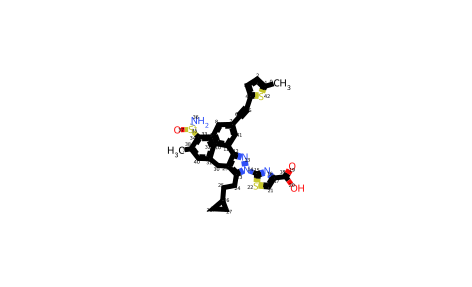 Cc1ccc(C#Cc2cccc(-c3nn(-c4nc(C(=O)O)cs4)c(CCC4CC4)c3Cc3ccc([S+](N)[O-])c(C)c3)c2)s1